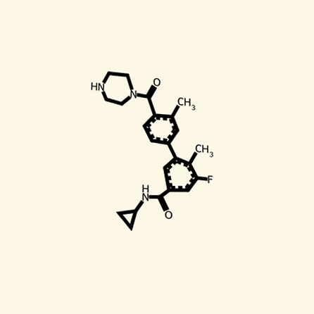 Cc1cc(-c2cc(C(=O)NC3CC3)cc(F)c2C)ccc1C(=O)N1CCNCC1